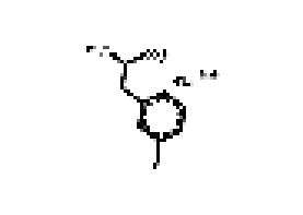 O=C(O)C(Cc1cccc(F)c1)C(=O)O.[NaH].[NaH]